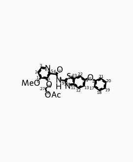 COc1ccnc(C(=O)Nc2nc3ccc(Oc4ccccc4)cc3s2)c1OCOC(C)=O